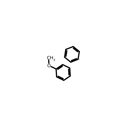 COc1ccccc1.[c]1ccccc1